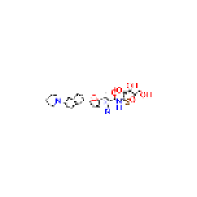 C/C(=C(/C#N)C(=O)N[C@H]1SO[C@H](CO)[C@@H](O)[C@@H]1O)c1ccc(-c2ccc3cc(N4CCCCC4)ccc3c2)o1